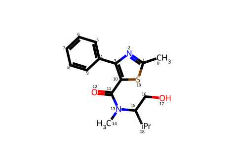 Cc1nc(-c2ccccc2)c(C(=O)N(C)C(CO)C(C)C)s1